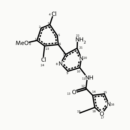 COc1cc(Cl)cc(-c2ncc(NC(=O)c3cnoc3C)nc2N)c1Cl